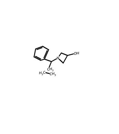 CC.CC(c1ccccc1)N1CC(O)C1